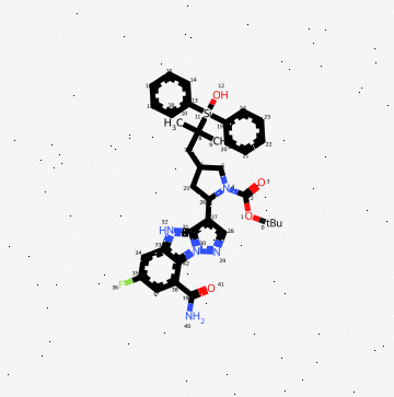 CC(C)(C)OC(=O)N1CC(CC(C)(C)[Si](O)(c2ccccc2)c2ccccc2)CC1c1cnn2c1[nH]c1cc(F)cc(C(N)=O)c12